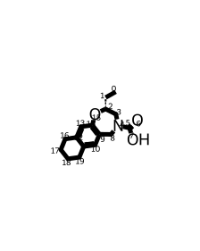 CC[C@@H]1CN(C(=O)O)Cc2cc3c(cc2O1)CCCC3